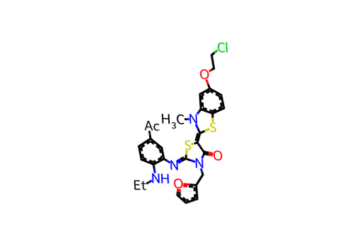 CCNc1ccc(C(C)=O)cc1N=C1SC(=C2Sc3ccc(OCCCl)cc3N2C)C(=O)N1Cc1ccco1